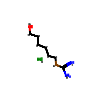 Cl.N=C(N)SCCCCCCO